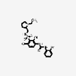 CCN1CCCC1CNS(=O)(=O)c1c(Cl)ccc(NC(=O)Nc2ccccc2Br)c1O